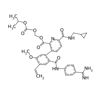 C=Cc1cc(C(=O)Nc2ccc(C(=N)N)cc2)c(-c2ccc(C(=O)NCC3CC3)nc2C(=O)OCOC(=O)OC(C)C)cc1OC